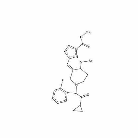 CC(=O)SC1CCN(C(C(=O)C2CC2)c2ccccc2F)C/C1=C/c1ccn(C(=O)OC(C)(C)C)n1